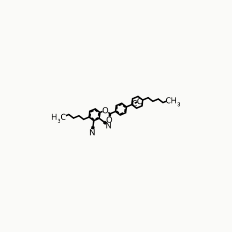 CCCCCc1ccc(OC(=O)c2ccc(C34CCC(CCCCC)(CC3)CC4)cc2)c(C#N)c1C#N